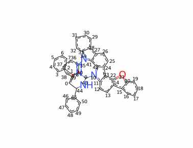 C1=C(c2ccccc2)NC(n2c3ccc4c5ccccc5oc4c3c3ccc4c5ccccc5n(-c5ccccc5)c4c32)NC1c1ccccc1